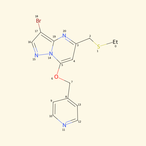 CCSCc1cc(OCc2ccncc2)n2ncc(Br)c2n1